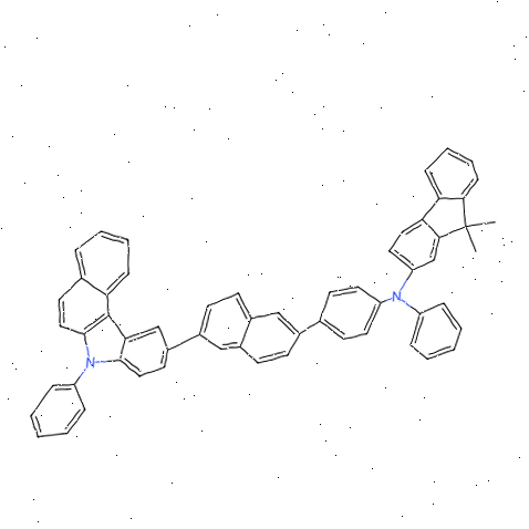 CC1(C)c2ccccc2-c2ccc(N(c3ccccc3)c3ccc(-c4ccc5cc(-c6ccc7c(c6)c6c8ccccc8ccc6n7-c6ccccc6)ccc5c4)cc3)cc21